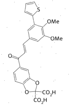 COc1cc(C=CC(=O)c2ccc3c(c2)OC(C(=O)O)(C(=O)O)O3)cc(-c2cccs2)c1OC